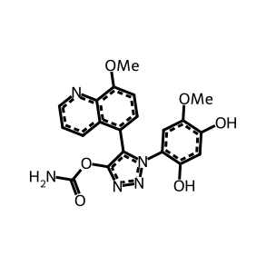 COc1cc(-n2nnc(OC(N)=O)c2-c2ccc(OC)c3ncccc23)c(O)cc1O